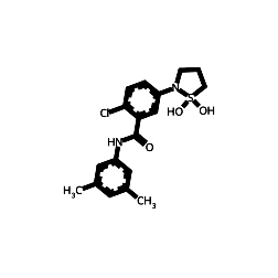 Cc1cc(C)cc(NC(=O)c2cc(N3CCCS3(O)O)ccc2Cl)c1